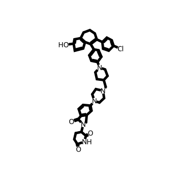 O=C1CCC(N2Cc3cc(N4CCN(CC5CCN(c6ccc(C7=C(c8ccc(Cl)cc8)CCCc8cc(O)ccc87)cc6)CC5)CC4)ccc3C2=O)C(=O)N1